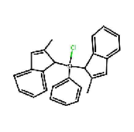 CC1=Cc2ccccc2C1[Si](Cl)(c1ccccc1)C1C(C)=Cc2ccccc21